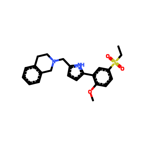 CCS(=O)(=O)c1ccc(OC)c(-c2ccc(CN3CCc4ccccc4C3)[nH]2)c1